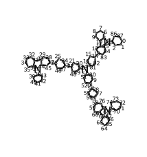 c1ccc(-n2c3ccccc3c3cc(-c4ccc(N(c5ccc(-c6ccc(-c7ccc8c9ccccc9n(-c9ccccc9)c8c7)cc6)cc5)c5ccc(-c6ccc(-c7ccc8c9ccccc9n(-c9ccccc9)c8c7)cc6)cc5)cc4)ccc32)cc1